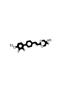 CCCC1(F)COC(/C=C/C2CCC(c3ccc(OCC)c(F)c3F)CC2)OC1